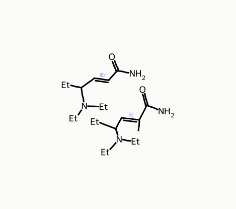 CCC(/C=C(\C)C(N)=O)N(CC)CC.CCC(/C=C/C(N)=O)N(CC)CC